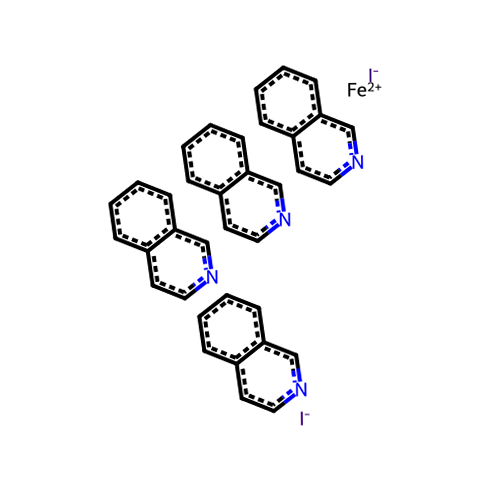 [Fe+2].[I-].[I-].c1ccc2cnccc2c1.c1ccc2cnccc2c1.c1ccc2cnccc2c1.c1ccc2cnccc2c1